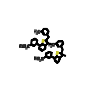 CCOC(=O)c1cccc(-c2cccc3c(C)c(Cc4cccc(C(F)(F)F)c4)sc23)c1.Cc1c(Cc2cccc(C(F)(F)F)c2)sc2c(-c3cccc(C(=O)O)c3)cccc12